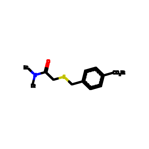 CCOC(=O)c1ccc(CSCC(=O)N(CC)CC)cc1